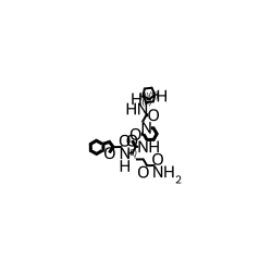 NC(=O)C(=O)CC[C@H](NC(=O)c1cc2ccccc2o1)C(=O)Nc1cccn(CC(=O)N[C@@H]2C[C@H]3CC[C@@H]2C3)c1=O